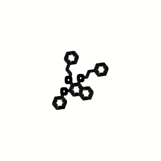 c1ccc(CCOc2c(Oc3ccccc3)cc3ccccc3c2OCCc2ccccc2)cc1